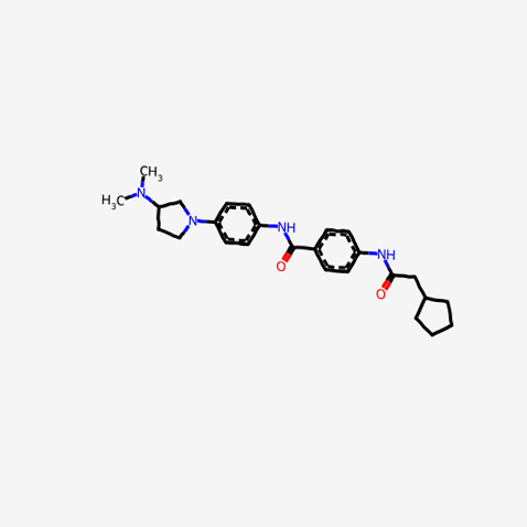 CN(C)C1CCN(c2ccc(NC(=O)c3ccc(NC(=O)CC4CCCC4)cc3)cc2)C1